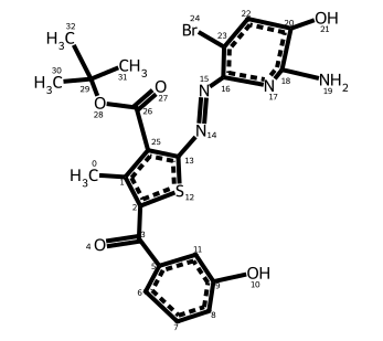 Cc1c(C(=O)c2cccc(O)c2)sc(/N=N/c2nc(N)c(O)cc2Br)c1C(=O)OC(C)(C)C